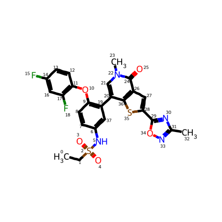 CCS(=O)(=O)Nc1ccc(Oc2ccc(F)cc2F)c(-c2cn(C)c(=O)c3cc(-c4nc(C)no4)sc23)c1